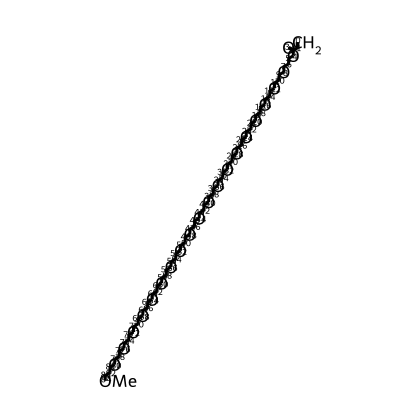 C=CC(=O)OCCCOCCCOCCCOCCCOCCCOCCCOCCCOCCCOCCCOCCCOCCCOCCCOCCCOCCCOCCCOCCCOCCCOCCCOCCCOCCCOC